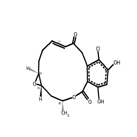 C[C@@H]1C[C@@H]2O[C@H]2CC/C=C/C(=O)Cc2c(Cl)c(O)cc(O)c2C(=O)O1